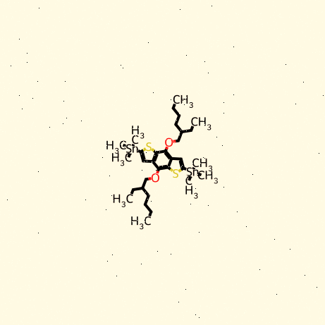 CCCCC(CC)COc1c2c[c]([Sn]([CH3])([CH3])[CH3])sc2c(OCC(CC)CCCC)c2c[c]([Sn]([CH3])([CH3])[CH3])sc12